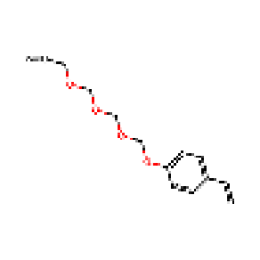 C=Cc1ccc(OCOCOCOCOC)cc1